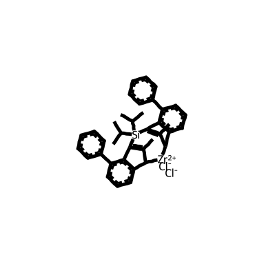 CC1=C2c3c(-c4ccccc4)cccc3[CH]1[Zr+2][CH]1C(C)=C(c3c(-c4ccccc4)cccc31)[Si]2(C(C)C)C(C)C.[Cl-].[Cl-]